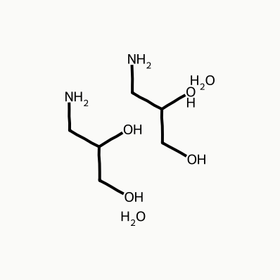 NCC(O)CO.NCC(O)CO.O.O